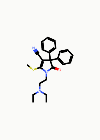 CCN(CC)CCN1C(=O)C(c2ccccc2)(c2ccccc2)C(C#N)=C1SC